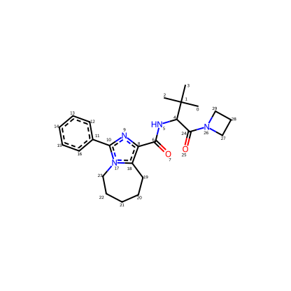 CC(C)(C)C(NC(=O)c1nc(-c2ccccc2)n2c1CCCCC2)C(=O)N1CCC1